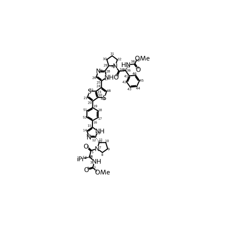 COC(=O)N[C@H](C(=O)N1CCC[C@H]1c1ncc(-c2ccc(-c3csc4c(-c5cnc(C6CCCN6C(=O)[C@H](NC(=O)OC)c6ccccc6)[nH]5)csc34)cc2)[nH]1)C(C)C